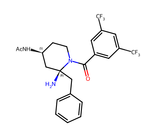 CC(=O)N[C@H]1CCN(C(=O)c2cc(C(F)(F)F)cc(C(F)(F)F)c2)[C@](N)(Cc2ccccc2)C1